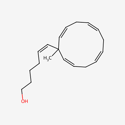 CC1(/C=C\CCCCO)/C=C\C/C=C\C/C=C\C/C=C\1